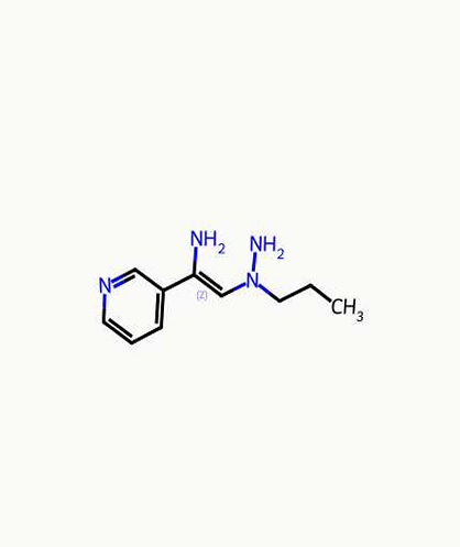 CCCN(N)/C=C(\N)c1cccnc1